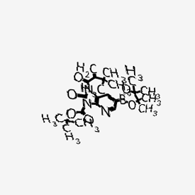 C=C(C(=O)n1c(=O)n(C(=O)OC(C)(C)C)c2ncc(B3OC(C)(C)C(C)(C)O3)cc21)C(C)(C)C